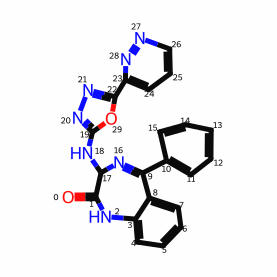 O=C1Nc2ccccc2C(c2ccccc2)=NC1Nc1nnc(-c2cccnn2)o1